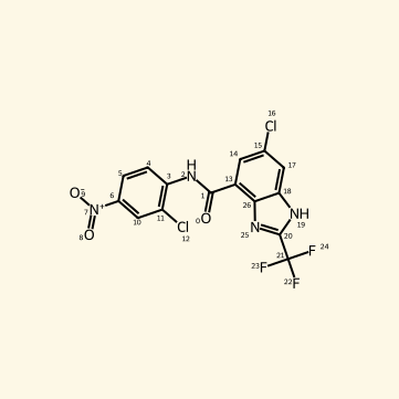 O=C(Nc1ccc([N+](=O)[O-])cc1Cl)c1cc(Cl)cc2[nH]c(C(F)(F)F)nc12